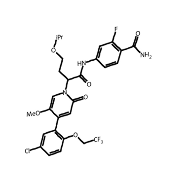 COc1cn(C(CCOC(C)C)C(=O)Nc2ccc(C(N)=O)c(F)c2)c(=O)cc1-c1cc(Cl)ccc1OCC(F)(F)F